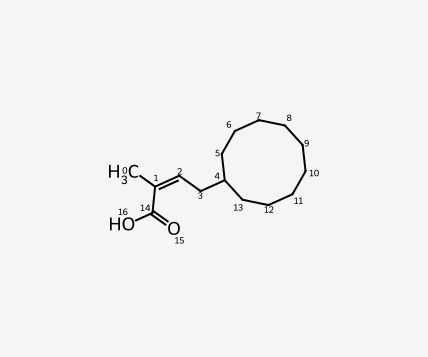 CC(=CCC1CCCCCCCCC1)C(=O)O